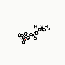 CC1(C)c2ccccc2-c2cc(-c3ccc(N(c4ccccc4)c4cccc(-c5cccc6c5-c5ccccc5C65c6ccc7ccccc7c6Oc6c5ccc5ccccc65)c4)cc3)ccc21